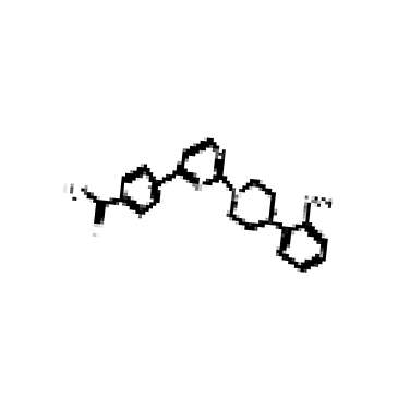 COc1ccccc1N1CCN(c2nccc(-c3ccc(C(N)=O)cc3)n2)CC1